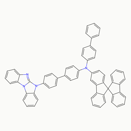 c1ccc(-c2ccc(N(c3ccc(-c4ccc(-n5c6ccccc6n6c7ccccc7nc56)cc4)cc3)c3ccc4c(c3)-c3ccccc3C43c4ccccc4-c4ccccc43)cc2)cc1